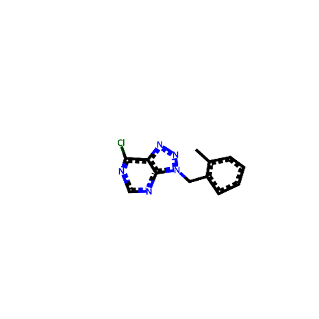 Cc1ccccc1Cn1nnc2c(Cl)ncnc21